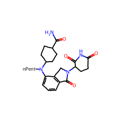 CCCCCN(c1cccc2c1CN(C1CCC(=O)NC1=O)C2=O)C1CCC(C(N)=O)CC1